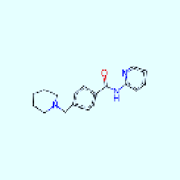 O=C(Nc1ccccn1)c1ccc(CN2CCCCC2)cc1